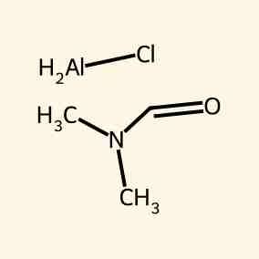 CN(C)C=O.[AlH2][Cl]